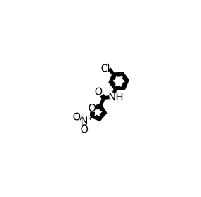 O=C(Nc1cccc(Cl)c1)c1ccc([N+](=O)[O-])o1